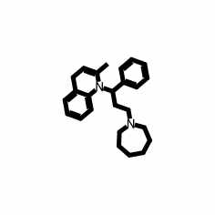 CC1=CCc2ccccc2N1C(CCN1CCCCCC1)c1ccccc1